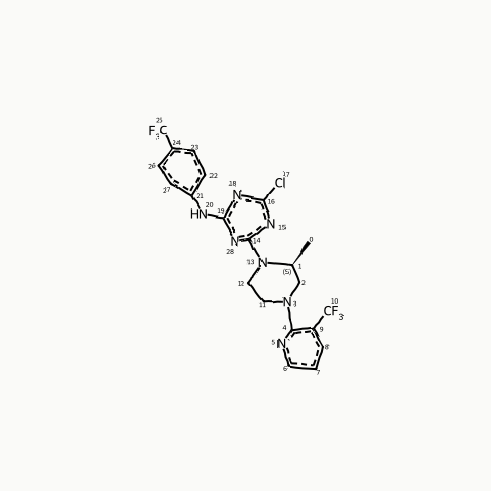 C[C@H]1CN(c2ncccc2C(F)(F)F)CCN1c1nc(Cl)nc(Nc2ccc(C(F)(F)F)cc2)n1